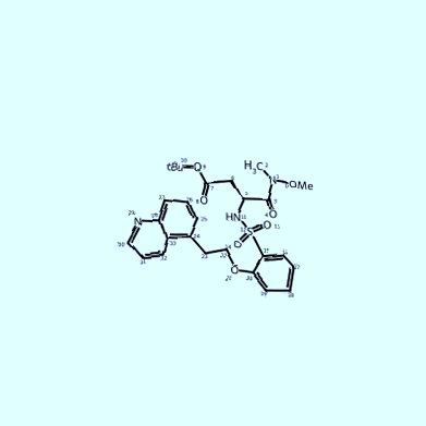 CON(C)C(=O)[C@H](CC(=O)OC(C)(C)C)NS(=O)(=O)c1ccccc1OCCc1cccc2ncccc12